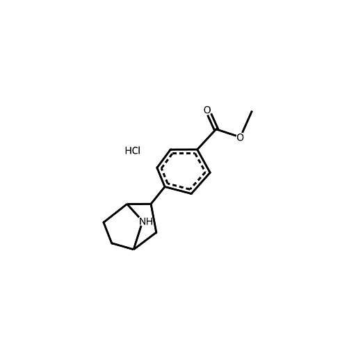 COC(=O)c1ccc(C2CC3CCC2N3)cc1.Cl